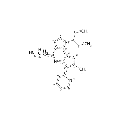 CCC(CC)n1ccc2c(C)nc3c(-c4ccccn4)c(C)nn3c21.Cl.Cl